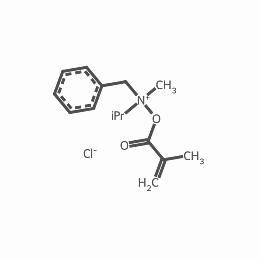 C=C(C)C(=O)O[N+](C)(Cc1ccccc1)C(C)C.[Cl-]